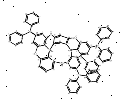 c1ccc(N(c2ccccc2)c2cc3c4c(c2)Oc2cccc5c2B4c2cc4c(cc2O3)Oc2cc(N(c3ccccc3)c3ccccc3)cc3c2B4c2c(cc(N(c4ccccc4)c4ccccc4)cc2N3c2ccccc2)O5)cc1